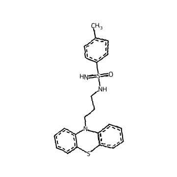 Cc1ccc(S(=N)(=O)NCCCN2c3ccccc3Sc3ccccc32)cc1